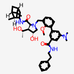 COc1c(CN2C[C@H](O)[C@@H]([C@H](C)O)C2C(=O)NC2C[C@H]3C[C@@H]([C@@H]2C)C3(C)C)cccc1-c1cc(C(=O)NCCc2ccccc2)cc(N(C)C)c1